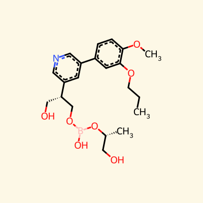 CCCOc1cc(-c2cncc([C@@H](CO)COB(O)O[C@H](C)CO)c2)ccc1OC